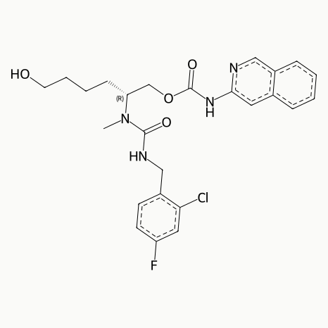 CN(C(=O)NCc1ccc(F)cc1Cl)[C@H](CCCCO)COC(=O)Nc1cc2ccccc2cn1